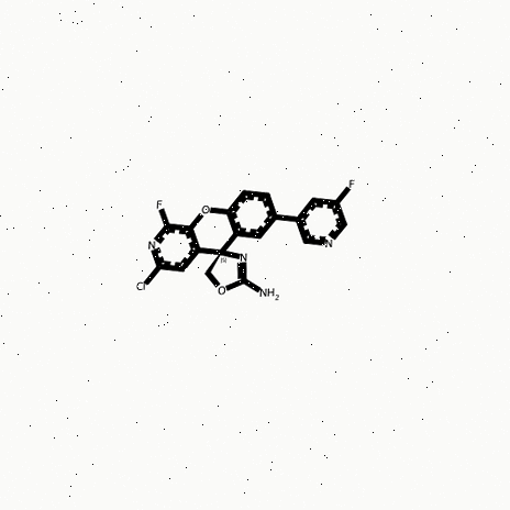 NC1=N[C@@]2(CO1)c1cc(-c3cncc(F)c3)ccc1Oc1c2cc(Cl)nc1F